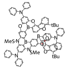 CSN1c2cc3c(cc2B2c4cc5c(cc4N(SC)c4cc(N(c6ccccc6)c6ccccc6)cc1c42)Oc1cc(N(c2ccccc2)c2ccccc2)cc2c1B5c1ccc4oc5c(C(C)(C)C)cccc5c4c1O2)B1c2ccc4oc5c(C(C)(C)C)cccc5c4c2Oc2cc(N(c4ccccc4)c4ccccc4)cc(c21)O3